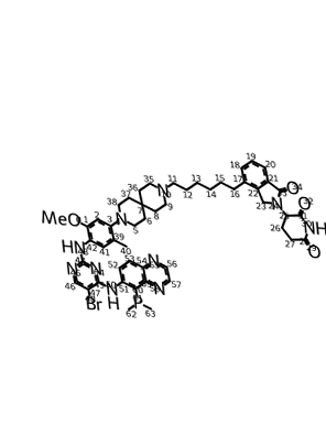 COc1cc(N2CCC3(CCN(CCCCCCc4cccc5c4CN(C4CCC(=O)NC4=O)C5=O)CC3)CC2)c(C)cc1Nc1ncc(Br)c(Nc2ccc3nccnc3c2P(C)C)n1